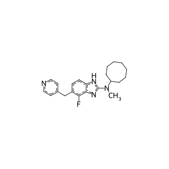 CN(c1nc2c(F)c(Cc3ccncc3)ccc2[nH]1)C1CCCCCCC1